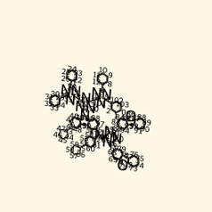 c1ccc(-c2nc(-c3ccccc3)nc(-c3nc(-c4nc(-c5ccccc5)nc(-c5ccccc5)n4)nc(-n4c5ccc(C6CCCC6)cc5c5c6c7cc(C8CCCC8)ccc7n(-c7nc(-c8ccc9oc%10ccccc%10c9c8)nc(-c8ccc9oc%10ccccc%10c9c8)n7)c6ccc54)n3)n2)cc1